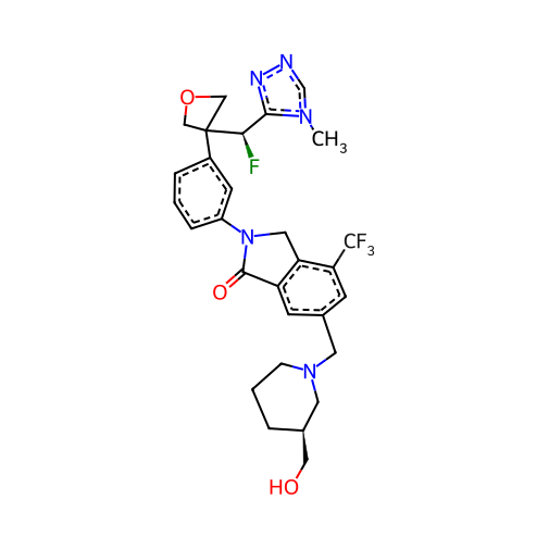 Cn1cnnc1[C@@H](F)C1(c2cccc(N3Cc4c(cc(CN5CCC[C@H](CO)C5)cc4C(F)(F)F)C3=O)c2)COC1